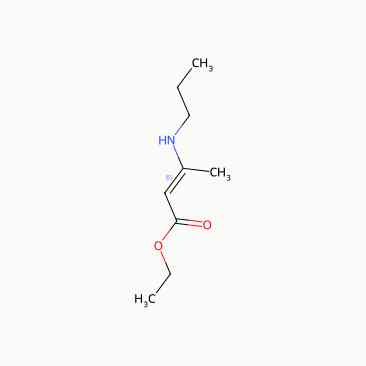 CCCN/C(C)=C/C(=O)OCC